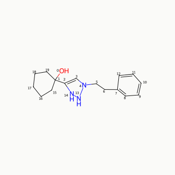 OC1(C2=CN(CCc3ccccc3)NN2)CCCCC1